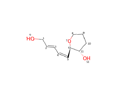 OC/C=C/C=C\[C@H]1OCCC[C@@H]1O